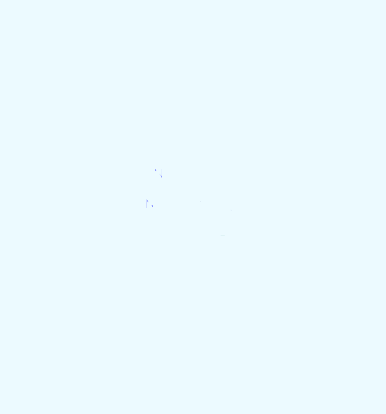 CN1[CH]C(C(F)(F)F)[C]=N1